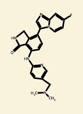 CN(C)Cc1ccc(Nc2ccc(-c3cnc4cc(F)ccn34)c3c2C(=O)NC3)nc1